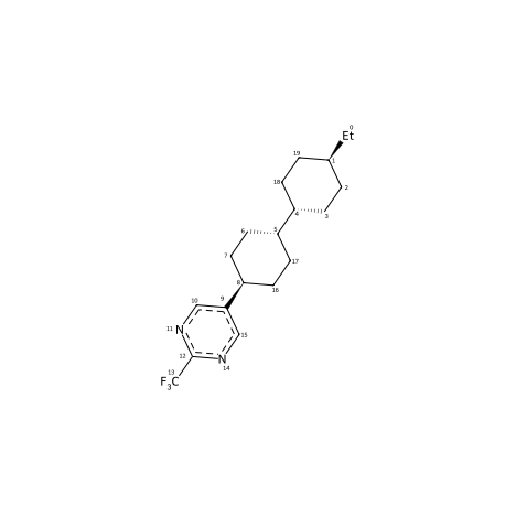 CC[C@H]1CC[C@H]([C@H]2CC[C@H](c3cnc(C(F)(F)F)nc3)CC2)CC1